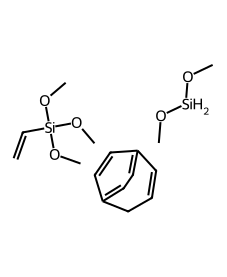 C1=Cc2ccc(cc2)C1.C=C[Si](OC)(OC)OC.CO[SiH2]OC